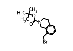 CC(C)(C)OC(=O)N1CCc2cccc(CBr)c2C1